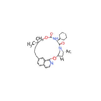 CC(=O)[C@@H]1C[C@@H]2CN1C(=O)[C@H](C1CCCCC1)NC(=O)OCC(C)(C)CCCc1ccc3ccnc(c3c1)O2